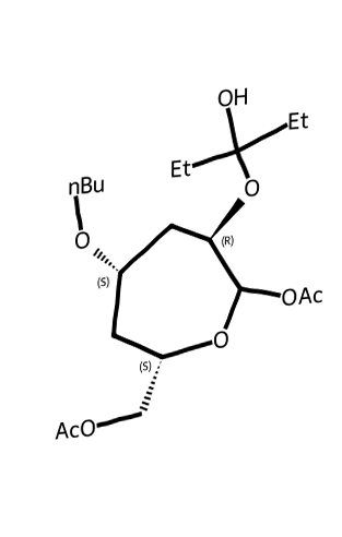 CCCCO[C@H]1C[C@@H](COC(C)=O)OC(OC(C)=O)[C@H](OC(O)(CC)CC)C1